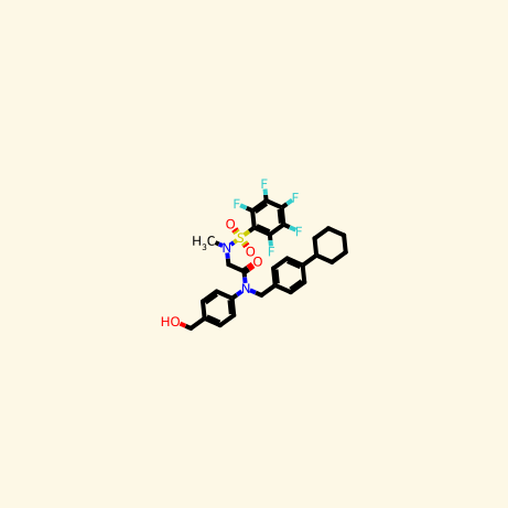 CN(CC(=O)N(Cc1ccc(C2CCCCC2)cc1)c1ccc(CO)cc1)S(=O)(=O)c1c(F)c(F)c(F)c(F)c1F